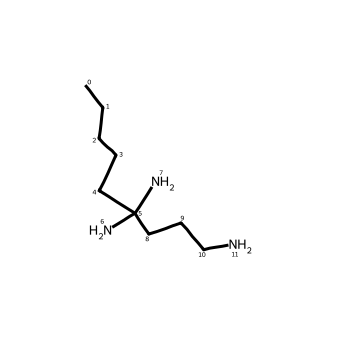 CCCCCC(N)(N)CCCN